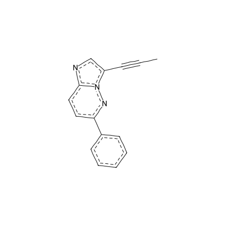 CC#Cc1cnc2ccc(-c3ccccc3)nn12